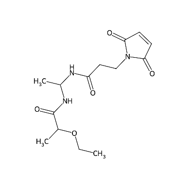 CCOC(C)C(=O)NC(C)NC(=O)CCN1C(=O)C=CC1=O